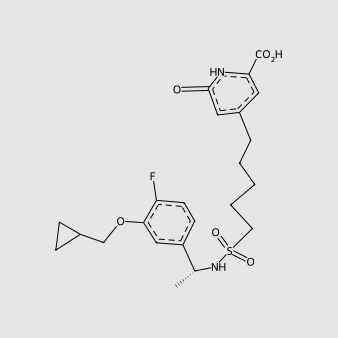 C[C@@H](NS(=O)(=O)CCCCCc1cc(C(=O)O)[nH]c(=O)c1)c1ccc(F)c(OCC2CC2)c1